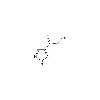 CC(C)CC(=O)c1cn[nH]c1